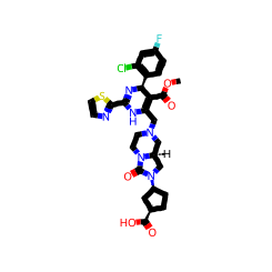 COC(=O)C1=C(CN2CCN3C(=O)N([C@H]4CC[C@@H](C(=O)O)C4)C[C@@H]3C2)NC(c2nccs2)=N[C@H]1c1ccc(F)cc1Cl